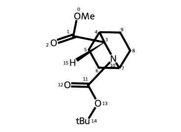 COC(=O)[C@@H]1C2CCC(CC2)N1C(=O)OC(C)(C)C